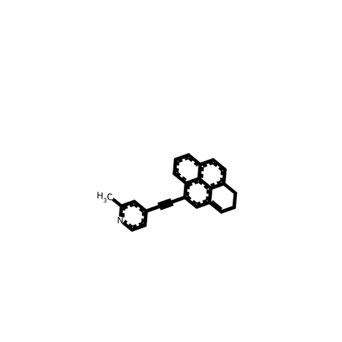 Cc1cc(C#Cc2cc3c4c(ccc5cccc2c54)CCC=3)ccn1